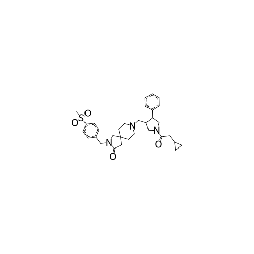 CS(=O)(=O)c1ccc(CN2CC3(CCN(CC4CN(C(=O)CC5CC5)CC4c4ccccc4)CC3)CC2=O)cc1